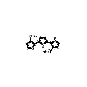 CCCCCCc1ccsc1-c1ccc(-c2sccc2CCCCCC)s1